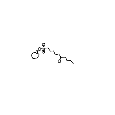 CCCCC(=O)CCCCCS(=O)(=O)O[S+]1CCCCC1